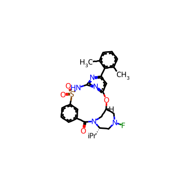 Cc1cccc(C)c1-c1cc2nc(n1)NS(=O)(=O)c1cccc(c1)C(=O)N1C[C@@H](CN(F)C[C@@H]1C(C)C)O2